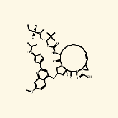 CCS(=O)(=O)N(C)C[C@@H](OC(=O)N[C@H]1CCCCC/C=C\C2C[C@@]2(C(=O)O)NC(=O)[C@@H]2C[C@@H](Oc3cc(-c4csc(NC(C)C)n4)nc4cc(OC)ccc34)CN2C1=O)C(C)(C)C